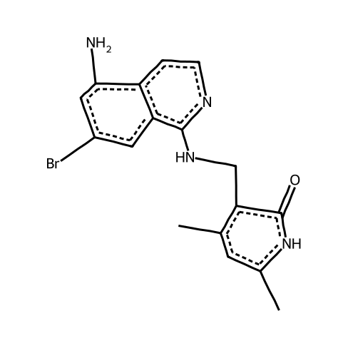 Cc1cc(C)c(CNc2nccc3c(N)cc(Br)cc23)c(=O)[nH]1